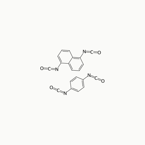 O=C=Nc1ccc(N=C=O)cc1.O=C=Nc1cccc2c(N=C=O)cccc12